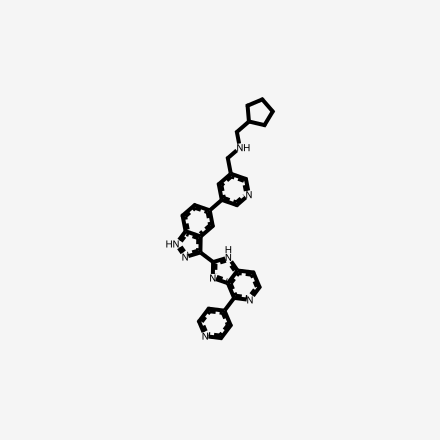 c1cc(-c2nccc3[nH]c(-c4n[nH]c5ccc(-c6cncc(CNCC7CCCC7)c6)cc45)nc23)ccn1